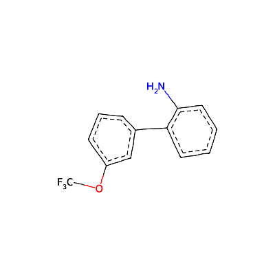 Nc1ccccc1-c1cccc(OC(F)(F)F)c1